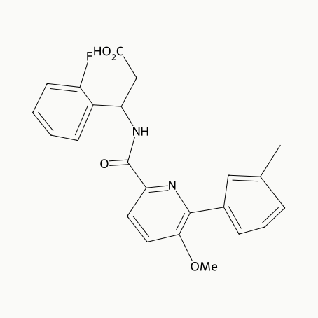 COc1ccc(C(=O)NC(CC(=O)O)c2ccccc2F)nc1-c1cccc(C)c1